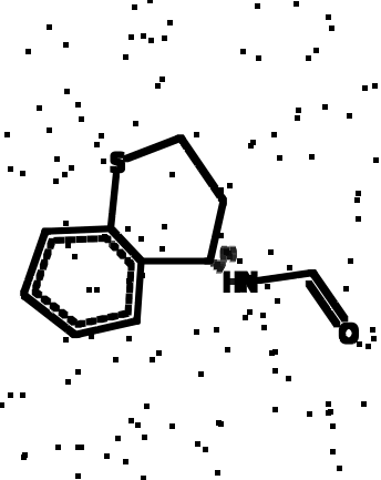 O=CN[C@H]1CCSc2ccccc21